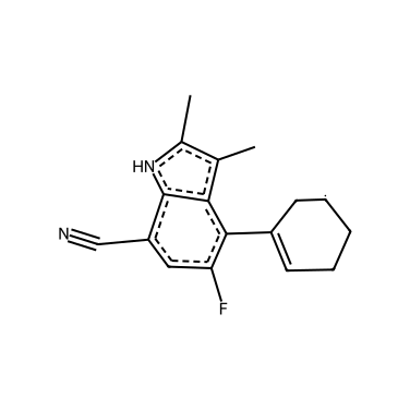 Cc1[nH]c2c(C#N)cc(F)c(C3=CCC[CH]C3)c2c1C